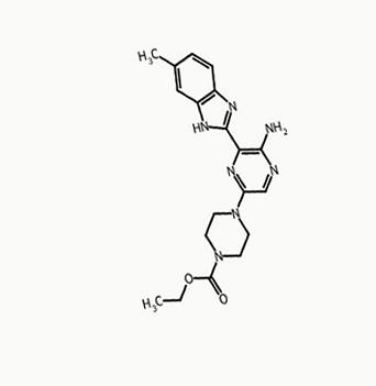 CCOC(=O)N1CCN(c2cnc(N)c(-c3nc4ccc(C)cc4[nH]3)n2)CC1